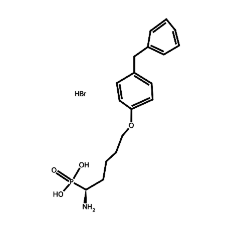 Br.N[C@H](CCCCOc1ccc(Cc2ccccc2)cc1)P(=O)(O)O